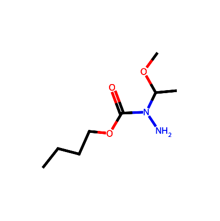 CCCCOC(=O)N(N)C(C)OC